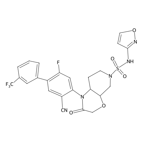 N#Cc1cc(-c2cccc(C(F)(F)F)c2)c(F)cc1N1C(=O)COC2CN(S(=O)(=O)Nc3ccon3)CCC21